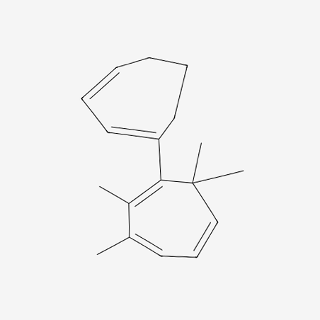 CC1=CC=CC(C)(C)C(C2=CC=CCCC2)=C1C